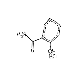 Cl.NC(=O)c1ccccc1O